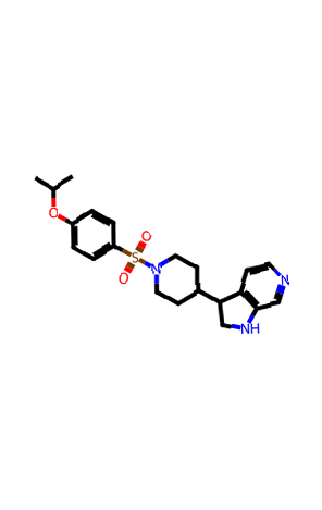 CC(C)Oc1ccc(S(=O)(=O)N2CCC(C3CNc4cnccc43)CC2)cc1